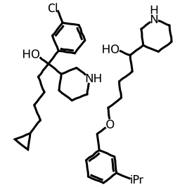 CC(C)c1cccc(COCCCCC(O)C2CCCNC2)c1.OC(CCCCC1CC1)(c1cccc(Cl)c1)C1CCCNC1